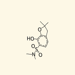 CN(C)S(=O)(=O)c1ccc2c(c1O)OC(C)(C)C2